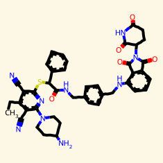 CCc1c(C#N)c(SC(C(=O)NCc2ccc(CNc3cccc4c3C(=O)N(C3CCC(=O)NC3=O)C4=O)cc2)c2ccccc2)nc(N2CCC(N)CC2)c1C#N